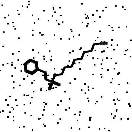 CCCCCCCCCCCCCCCCCCOS(=O)(=O)C=Cc1ccccc1